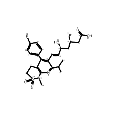 CC(C)c1nc2c(c(-c3ccc(F)cc3)c1/C=C/[C@@H](O)C[C@@H](O)CC(=O)O)CCS(=O)(=O)N2C